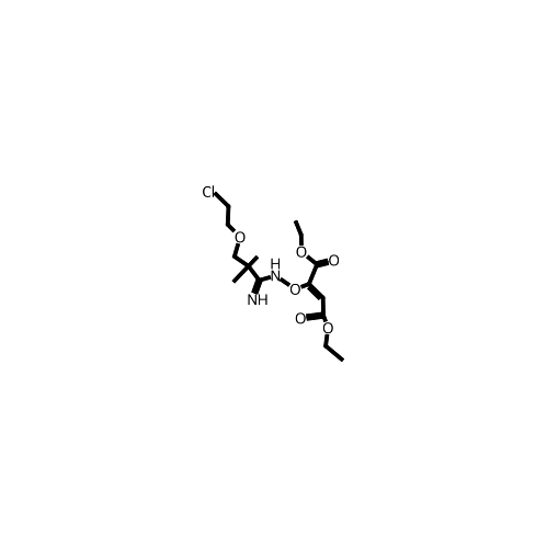 CCOC(=O)C=C(ONC(=N)C(C)(C)COCCCl)C(=O)OCC